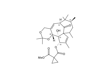 COC(=O)C1(C(=O)O[C@H]2C(C)=CC34C(=O)[C@@H](C=C5COC(C)(C)O[C@H]5[C@]23O)C(C)(C)[C@@H](C)CC4C)CC1